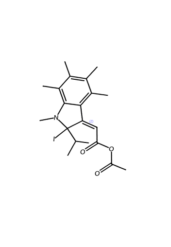 CC(=O)OC(=O)/C=C1/c2c(C)c(C)c(C)c(C)c2N(C)C1(I)C(C)C